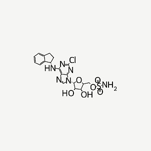 NS(=O)(=O)OCC1O[C@@H](n2cnc3c(N[C@H]4CCc5ccccc54)nc(Cl)nc32)[C@H](O)[C@@H]1O